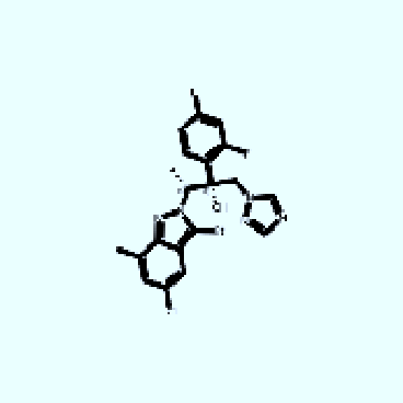 CCc1c2cc(Cl)cc(C)c2nn1[C@H](C)[C@](O)(Cn1cncn1)c1ccc(F)cc1F